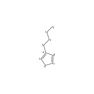 CCCCC1=CCC=C1